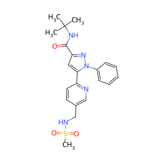 CC(C)(C)NC(=O)c1cc(-c2ccc(CNS(C)(=O)=O)cn2)n(-c2ccccc2)n1